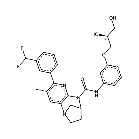 Cc1cc2c(nc1-c1cccc(C(F)F)c1)N(C(=O)Nc1ccnc(OC[C@@H](O)CO)c1)C1CCN2C1